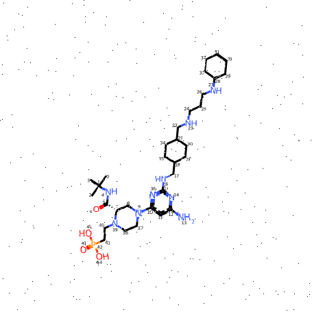 CC(C)(C)NC(=O)[C@@H]1CN(c2cc(N)nc(NCC3CCC(CNCCCNC4CCCCC4)CC3)n2)CCN1CCP(=O)(O)O